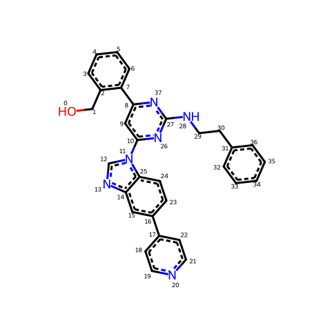 OCc1ccccc1-c1cc(-n2cnc3cc(-c4ccncc4)ccc32)nc(NCCc2ccccc2)n1